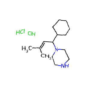 CC(C)=CC(C1CCCCC1)N1CCNCC1.Cl.Cl